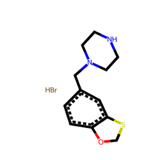 Br.c1cc2c(cc1CN1CCNCC1)SCO2